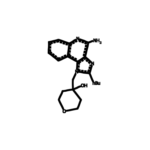 CCCCc1nc2c(N)nc3ccccc3c2n1CC1(O)CCOCC1